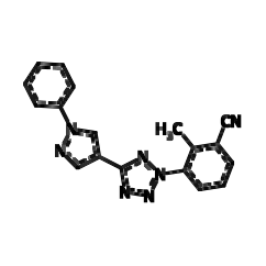 Cc1c(C#N)cccc1-n1nnc(-c2cnn(-c3ccccc3)c2)n1